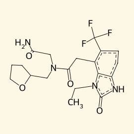 CCn1c(=O)[nH]c2ccc(C(F)(F)F)c(CC(=O)N(CC(N)=O)CC3CCCO3)c21